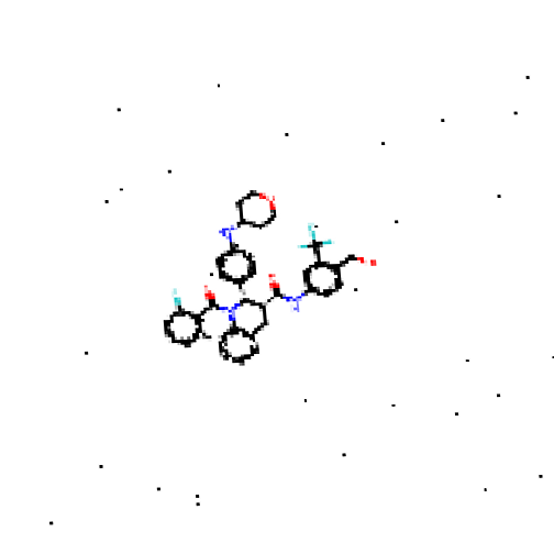 Cc1cccc(F)c1C(=O)N1c2ccccc2C[C@H](C(=O)Nc2ccc(CO)c(C(F)(F)F)c2)[C@@H]1c1ccc(NC2CCOCC2)cc1